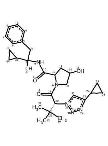 CC(Cc1ccccc1)(NC(=O)C1CC(O)CN1C(=O)[C@H](n1cc(C2CC2)nn1)C(C)(C)C)C1CC1